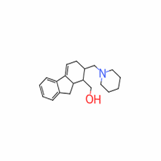 OCC1C(CN2CCCCC2)CC=C2c3ccccc3CC21